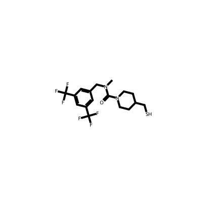 CN(Cc1cc(C(F)(F)F)cc(C(F)(F)F)c1)C(=O)N1CCC(CS)CC1